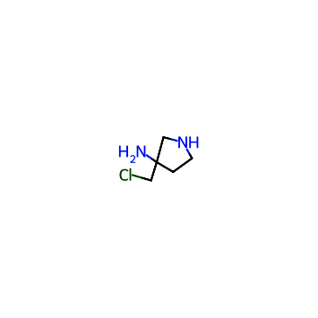 NC1(CCl)CCNC1